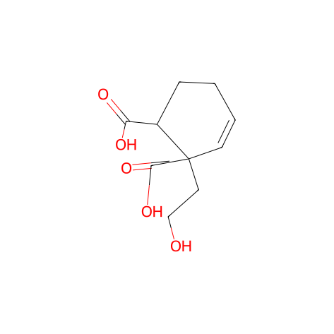 O=C(O)C1CCC=CC1(CCO)C(=O)O